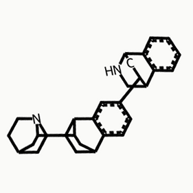 c1ccc2c(c1)C1CC(c3ccc4c(c3)C3CCC4CC3C3CC4CCN3CC4)C2CN1